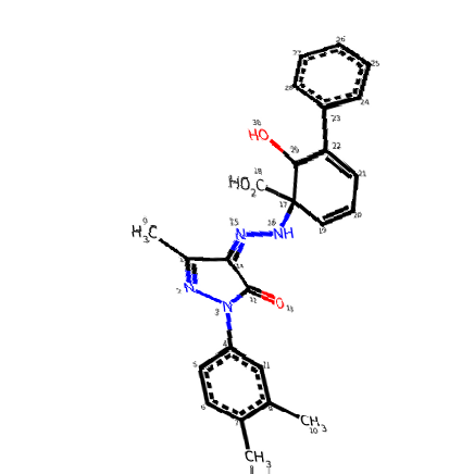 CC1=NN(c2ccc(C)c(C)c2)C(=O)/C1=N\NC1(C(=O)O)C=CC=C(c2ccccc2)C1O